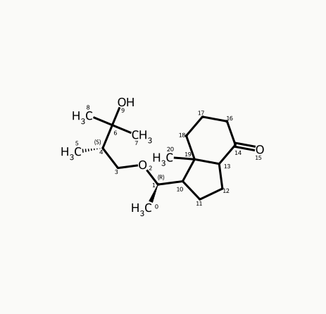 C[C@@H](OC[C@H](C)C(C)(C)O)C1CCC2C(=O)CCCC21C